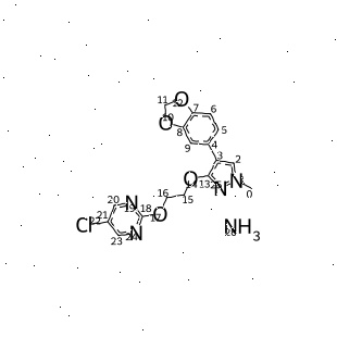 Cn1cc(-c2ccc3c(c2)OCO3)c(OCCOc2ncc(Cl)cn2)n1.N